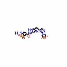 C[C@@H]1CN(c2nccc(-c3ccc4cnc(CNC(=O)c5ccc(N)c(S(C)(=O)=O)c5)cc4n3)n2)C[C@H](C)O1